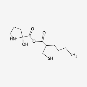 NCCCC(CS)C(=O)OC(=O)[C@]1(O)CCCN1